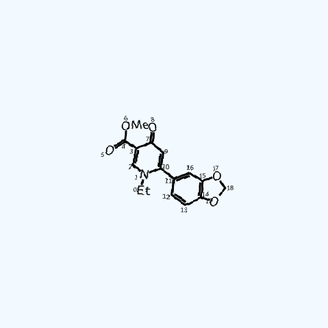 CCn1cc(C(=O)OC)c(=O)cc1-c1ccc2c(c1)OCO2